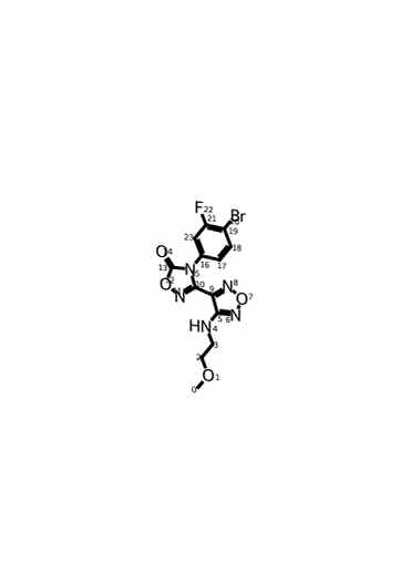 COCCNc1nonc1-c1noc(=O)n1-c1ccc(Br)c(F)c1